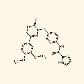 COc1ccc(C2=NN(Cc3ccc(NC(=O)c4ccc[nH]4)cc3)C(=O)OC2)cc1OC